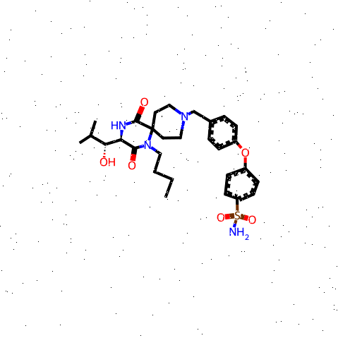 CCCCN1C(=O)[C@@H]([C@H](O)C(C)C)NC(=O)C12CCN(Cc1ccc(Oc3ccc(S(N)(=O)=O)cc3)cc1)CC2